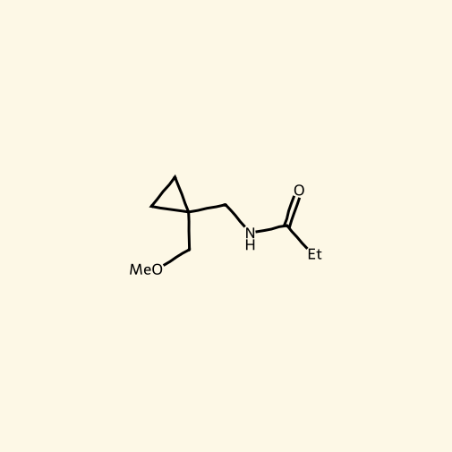 CCC(=O)NCC1(COC)CC1